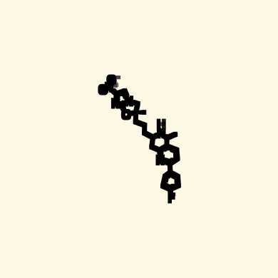 CC1NC(CCC[C@@]2(C)Cn3cc([N+](=O)[O-])nc3O2)Cc2nc(-c3ccc(F)cc3)ccc21